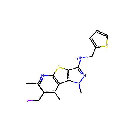 Cc1nc2sc3c(NCc4cccs4)nn(C)c3c2c(C)c1CI